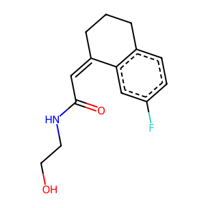 O=C(/C=C1/CCCc2ccc(F)cc21)NCCO